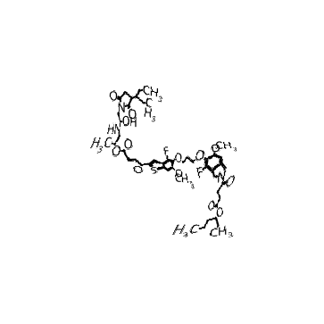 CCCC(CC)OC(=O)CCC(=O)N1Cc2cc(OC)c(OCCCOc3c(OC)cc4sc(C(=O)CCC(=O)O[C@@H](C)CNC(O)CN5C(=O)CC(C(CC)CC)C5=O)cc4c3F)c(F)c2C1